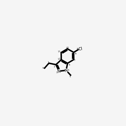 CCc1nn(C)c2cc(Cl)ccc12